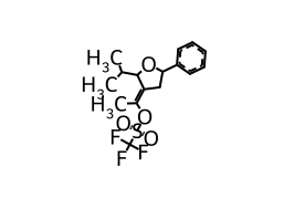 CC(OS(=O)(=O)C(F)(F)F)=C1CC(c2ccccc2)OC1C(C)C